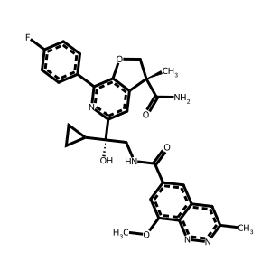 COc1cc(C(=O)NC[C@](O)(c2cc3c(c(-c4ccc(F)cc4)n2)OC[C@]3(C)C(N)=O)C2CC2)cc2cc(C)nnc12